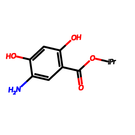 CC(C)OC(=O)c1cc(N)c(O)cc1O